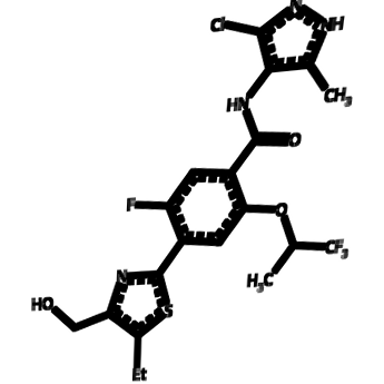 CCc1sc(-c2cc(OC(C)C(F)(F)F)c(C(=O)Nc3c(Cl)n[nH]c3C)cc2F)nc1CO